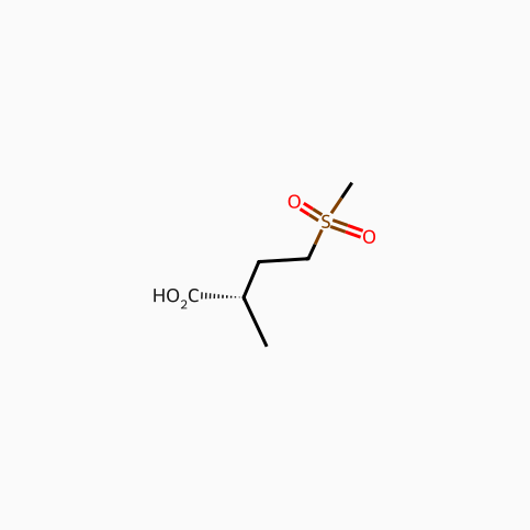 C[C@@H](CCS(C)(=O)=O)C(=O)O